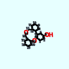 Oc1ccc2c(c1)-c1ccccc1COCc1ccccc1O2